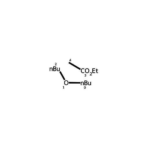 CCCCOCCCC.CCOC(C)=O